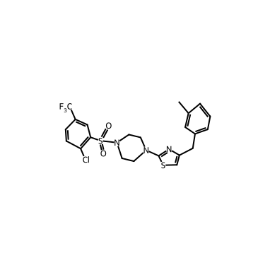 Cc1cccc(Cc2csc(N3CCN(S(=O)(=O)c4cc(C(F)(F)F)ccc4Cl)CC3)n2)c1